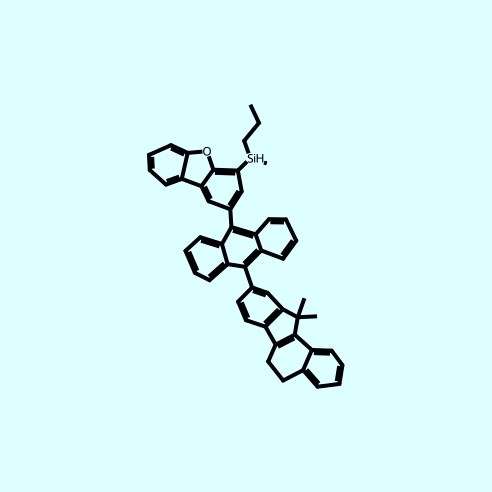 CCC[SiH](C)c1cc(-c2c3ccccc3c(-c3ccc4c(c3)C(C)(C)C3=C4CCc4ccccc43)c3ccccc23)cc2c1oc1ccccc12